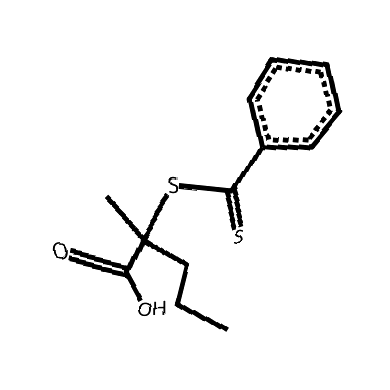 CCCC(C)(SC(=S)c1ccccc1)C(=O)O